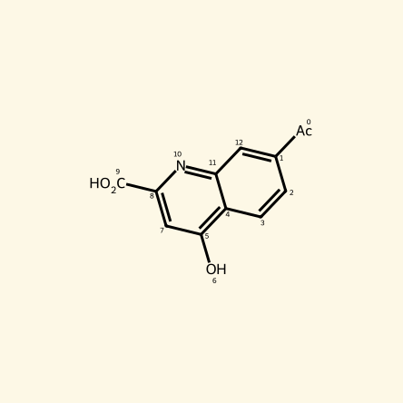 CC(=O)c1ccc2c(O)cc(C(=O)O)nc2c1